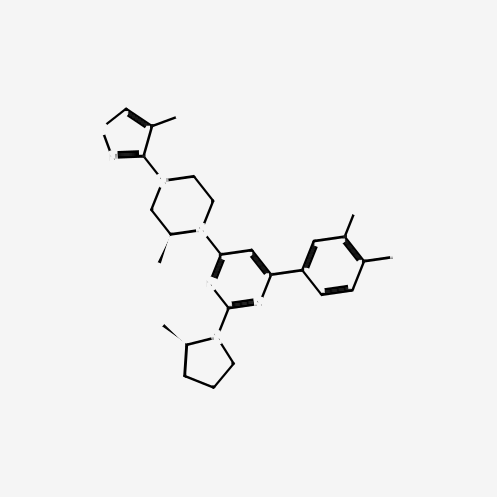 C[C@@H]1CCCN1c1nc(-c2ccc(F)c(Cl)c2)cc(N2CCN(c3nscc3Cl)C[C@@H]2C)n1